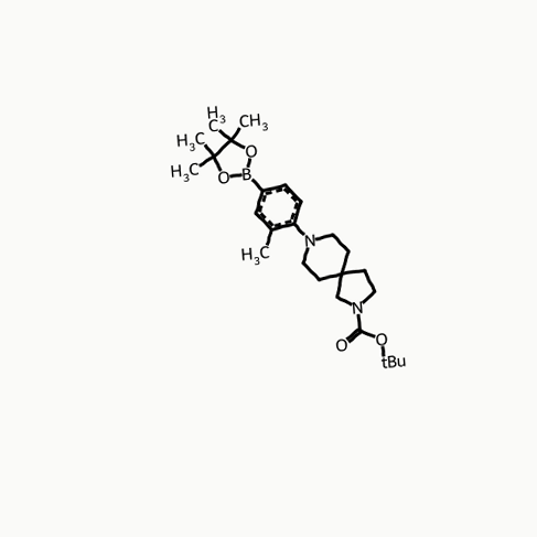 Cc1cc(B2OC(C)(C)C(C)(C)O2)ccc1N1CCC2(CCN(C(=O)OC(C)(C)C)C2)CC1